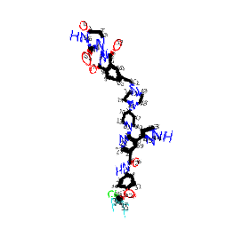 O=C1CCN(N2C(=O)c3ccc(CN4CCN(C5CCN(c6ncc(C(=O)Nc7ccc(OC(F)(F)Cl)cc7)cc6-c6cc[nH]n6)CC5)CC4)cc3C2=O)C(=O)N1